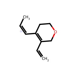 C=CC1=C(/C=C\C)CCOC1